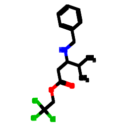 CC(C)C(CC(=O)OCC(Cl)(Cl)Cl)NCc1ccccc1